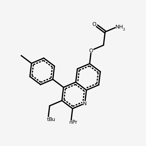 CCCc1nc2ccc(OCC(N)=O)cc2c(-c2ccc(C)cc2)c1CC(C)(C)C